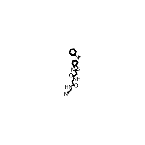 CN(c1ccccc1)c1ccc2nc(CC(=O)NCC(=O)NCC#N)sc2c1